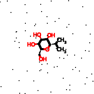 CC(C)[C@@H]1O[C@H](CO)[C@@H](O)[C@H](O)[C@@H]1O